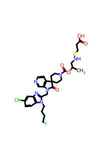 CC(CNSCCC(=O)O)OC(=O)N1CCC2(CC1)C(=O)N(Cc1nc3cc(Cl)ccc3n1CCCCF)c1cnccc12